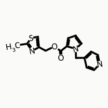 Cc1nc(COC(=O)c2cccn2Cc2ccncc2)cs1